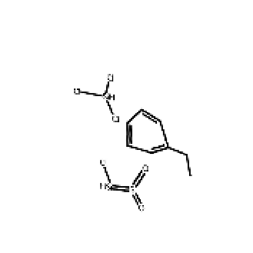 CCc1ccccc1.Cl[SiH](Cl)Cl.O=S(=O)=[SiH]Cl